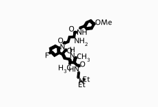 CCN(CC)CCNC(=O)c1c(C)[nH]c(/C=C2\C(=O)N(C(=O)CC[C@H](N)C(=O)NCc3ccc(OC)cc3)c3ccc(F)cc32)c1C